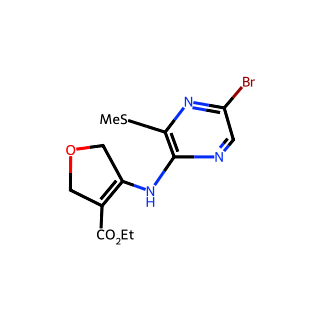 CCOC(=O)C1=C(Nc2ncc(Br)nc2SC)COC1